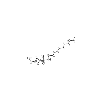 CC(C)OCCCCCCCCNS(=O)(=O)C1CN(CS)C1